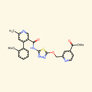 COC(=O)c1ccnc(COc2nnc(NC(=O)c3cnc(C)cc3-c3ccccc3OC)s2)c1